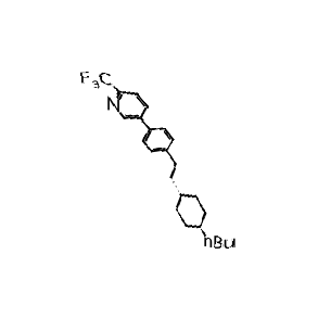 CCCC[C@H]1CC[C@H](CCc2ccc(-c3ccc(C(F)(F)F)nc3)cc2)CC1